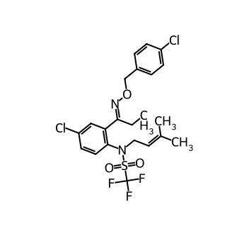 CC/C(=N\OCc1ccc(Cl)cc1)c1cc(Cl)ccc1N(CC=C(C)C)S(=O)(=O)C(F)(F)F